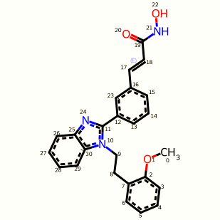 COc1ccccc1CCn1c(-c2cccc(/C=C/C(=O)NO)c2)nc2ccccc21